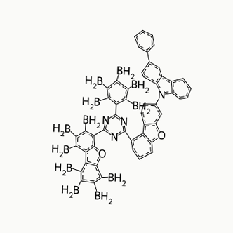 Bc1c(B)c(B)c(-c2nc(-c3c(B)c(B)c(B)c4c3oc3c(B)c(B)c(B)c(B)c34)nc(-c3cccc4oc5cc(-n6c7ccccc7c7cc(-c8ccccc8)ccc76)ccc5c34)n2)c(B)c1B